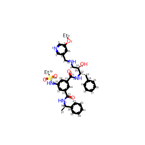 CCOc1cncc(CNC[C@@H](O)[C@H](Cc2ccccc2)NC(=O)c2cc(NS(=O)(=O)CC)cc(C(=O)N[C@H](C)c3ccccc3)c2)c1